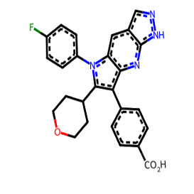 O=C(O)c1ccc(-c2c(C3CCOCC3)n(-c3ccc(F)cc3)c3cc4cn[nH]c4nc23)cc1